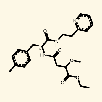 CCOC(=O)C(CC(=O)N[C@@H](Cc1ccc(C)cc1)C(=O)NCCc1ccccn1)OC